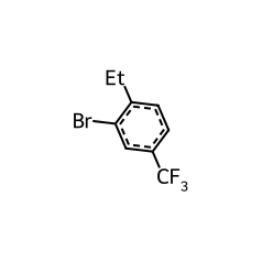 [CH2]Cc1ccc(C(F)(F)F)cc1Br